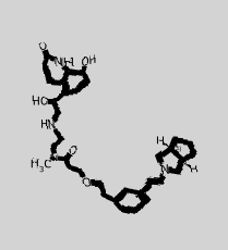 CN(CCNCC(O)c1ccc(O)c2[nH]c(=O)ccc12)C(=O)CCOCCc1cccc(CCN2C[C@H]3CCC[C@H]3C2)c1